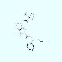 COCC[C@@H](NC(=O)N1CC2=C(NNC2NC(=O)C2([Si](C)(C)C)CCC2)C1(C)C)c1ccccc1